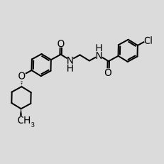 C[C@H]1CC[C@H](Oc2ccc(C(=O)NCCNC(=O)c3ccc(Cl)cc3)cc2)CC1